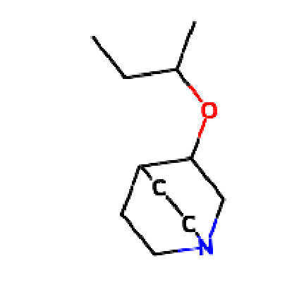 CCC(C)OC1CN2CCC1CC2